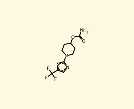 NC(=O)OC1CCN(c2ncc(C(F)(F)F)s2)CC1